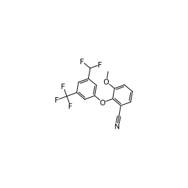 COc1cccc(C#N)c1Oc1cc(C(F)F)cc(C(F)(F)F)c1